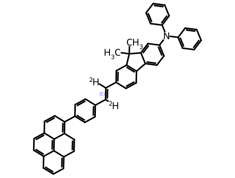 [2H]/C(=C(/[2H])c1ccc2c(c1)C(C)(C)c1cc(N(c3ccccc3)c3ccccc3)ccc1-2)c1ccc(-c2ccc3ccc4cccc5ccc2c3c45)cc1